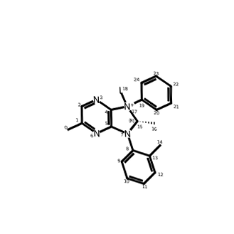 Cc1cnc2c(n1)N(c1ccccc1C)[C@@H](C)[N+]2(I)c1ccccc1